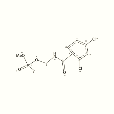 COP(C)(=O)OCNC(=O)c1ccc(Cl)cc1Cl